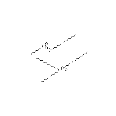 CCCCCCCCCCCCCC(=O)OCC(CCCCCCCCCC)CCCCCCCCCCCC.CCCCCCCCCCCCCCC(C)COC(=O)C(C)CCCCCCCC